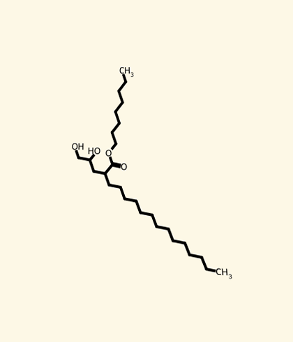 CCCCCCCCCCCCCCC(CC(O)CO)C(=O)OCCCCCCCC